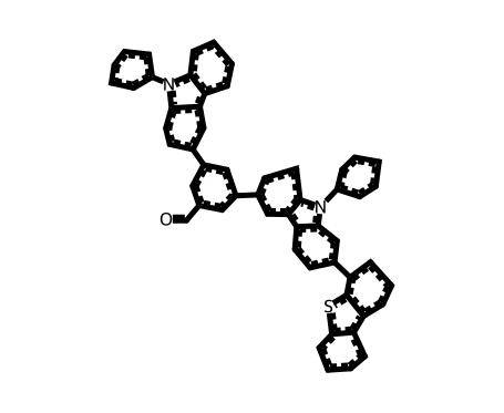 O=Cc1cc(-c2ccc3c(c2)c2ccccc2n3-c2ccccc2)cc(-c2ccc3c(c2)c2ccc(-c4cccc5c4sc4ccccc45)cc2n3-c2ccccc2)c1